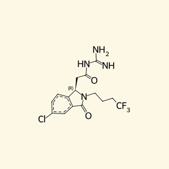 N=C(N)NC(=O)C[C@@H]1c2ccc(Cl)cc2C(=O)N1CCCC(F)(F)F